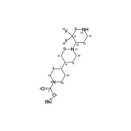 CC(C)(C)OC(=O)N1CCC(C2CCN(C3CCNCC3(F)F)CC2)CC1